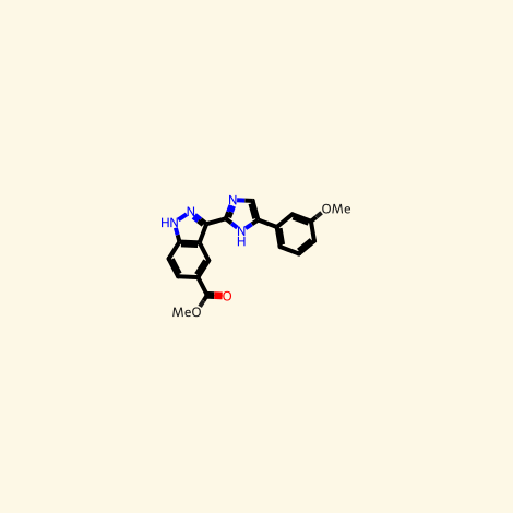 COC(=O)c1ccc2[nH]nc(-c3ncc(-c4cccc(OC)c4)[nH]3)c2c1